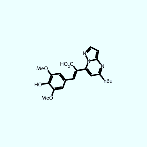 CCCCc1cc(/C(=C/c2cc(OC)c(O)c(OC)c2)C(=O)O)n2nccc2n1